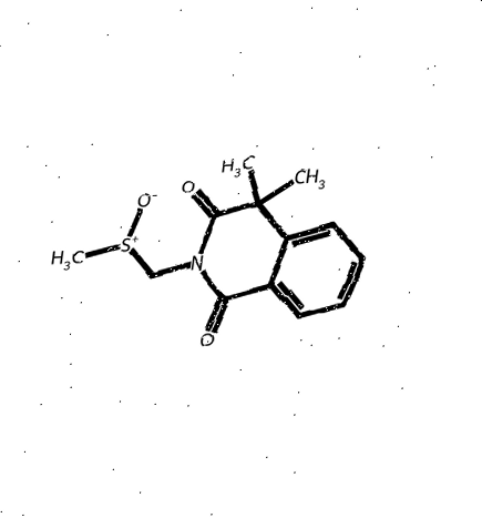 C[S+]([O-])CN1C(=O)c2ccccc2C(C)(C)C1=O